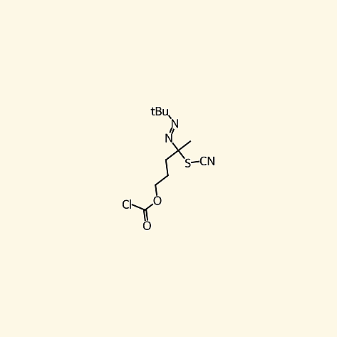 CC(C)(C)N=NC(C)(CCCOC(=O)Cl)SC#N